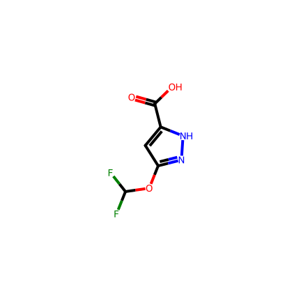 O=C(O)c1cc(OC(F)F)n[nH]1